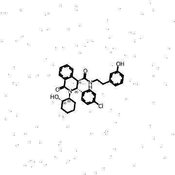 O=C(NCCc1cccc(O)c1)[C@@H]1c2ccccc2C(=O)N([C@H]2CCCC[C@@H]2O)[C@H]1c1ccc(Cl)cc1